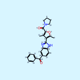 Cc1oc(C(=O)N2CCCC2)c(C)c1-c1nc2cc(C(=O)c3ccccc3)ccc2[nH]1